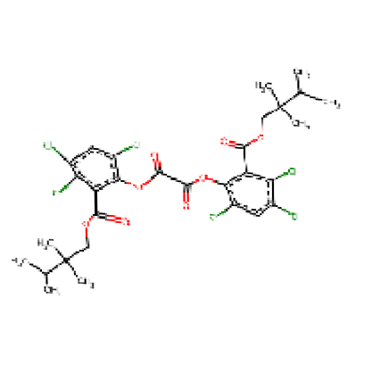 CC(C)C(C)(C)COC(=O)c1c(Cl)c(Cl)cc(Cl)c1OC(=O)C(=O)Oc1c(Cl)cc(Cl)c(Cl)c1C(=O)OCC(C)(C)C(C)C